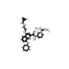 CC(C)N1CCC[C@@H](NC(=O)c2cc(OCCOCC3CC3)c3cccc(OC4CCCCCC4)c3n2)C1